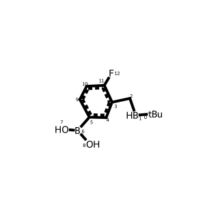 CC(C)(C)BCc1cc(B(O)O)ccc1F